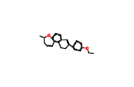 CCOc1ccc(C2=Cc3ccc4c(c3CC2)C=CCC(C)O4)cc1